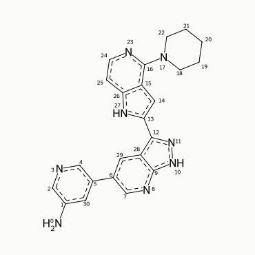 Nc1cncc(-c2cnc3[nH]nc(-c4cc5c(N6CCCCC6)nccc5[nH]4)c3c2)c1